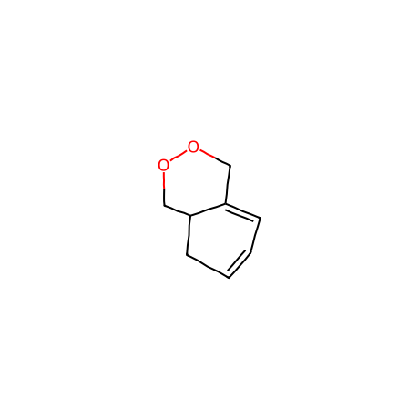 C1=CCC2COOCC2=C1